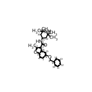 Cc1oc2ccc(OCc3ccccc3)cc2c1C(=O)NC1CC(C)(C)NC(C)(C)C1